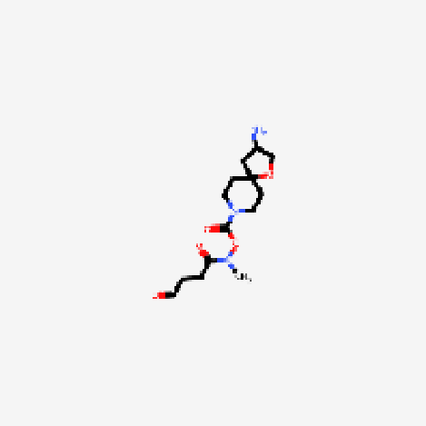 CN(OC(=O)N1CCC2(CC1)CC(N)CO2)C(=O)CCC=O